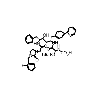 CC(C)(C)[C@H](NC(=O)O)C(=O)N[C@@H](Cc1ccc(-c2ccccn2)cc1)C[C@H](O)[C@H](Cc1ccccc1)NC(=O)[C@@H](N1CCN(Cc2ccccc2F)C1=O)C(C)(C)C